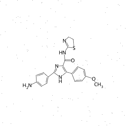 COc1ccc(-c2[nH]c(-c3ccc(N)cc3)nc2C(=O)NC2=NCCS2)cc1